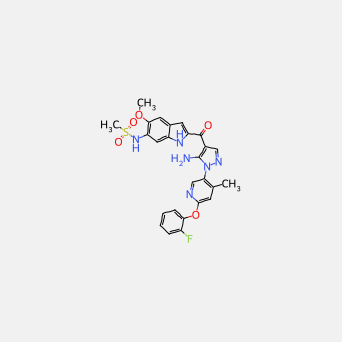 COc1cc2cc(C(=O)c3cnn(-c4cnc(Oc5ccccc5F)cc4C)c3N)[nH]c2cc1NS(C)(=O)=O